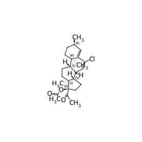 CC(=O)O[C@]1(C(C)=O)CC[C@H]2[C@@H]3C=C(Cl)C4=C[C@H](C)CC[C@]4(C)[C@H]3CC[C@@]21C